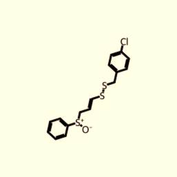 [O-][S+](CC=CSSCc1ccc(Cl)cc1)c1ccccc1